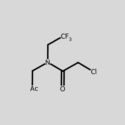 CC(=O)CN(CC(F)(F)F)C(=O)CCl